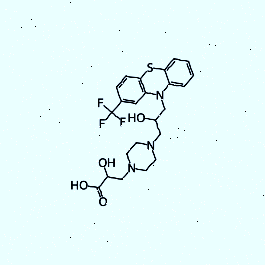 O=C(O)C(O)CN1CCN(CC(O)CN2c3ccccc3Sc3ccc(C(F)(F)F)cc32)CC1